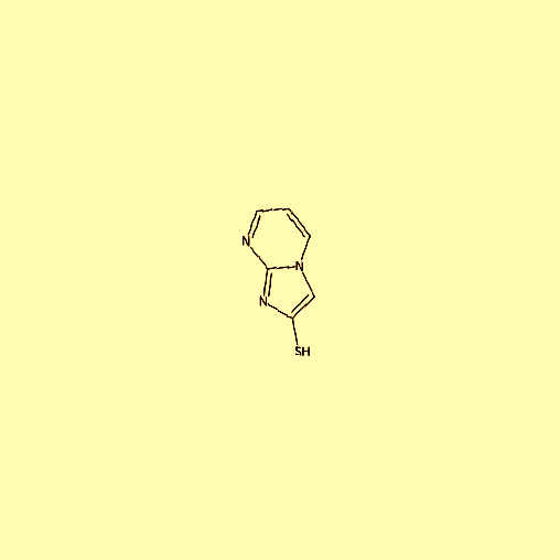 Sc1cn2cccnc2n1